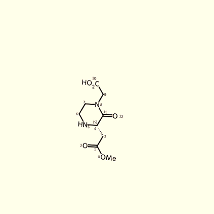 COC(=O)C[C@@H]1NCCN(CC(=O)O)C1=O